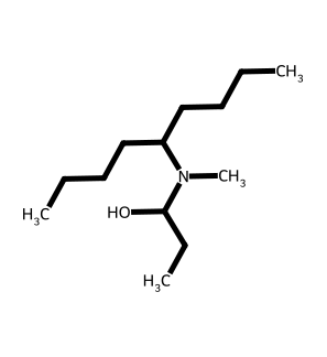 CCCCC(CCCC)N(C)C(O)CC